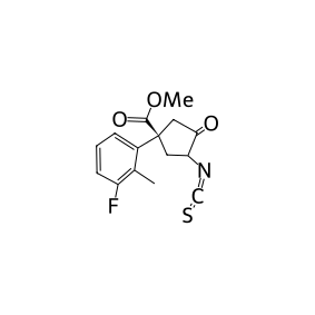 COC(=O)[C@@]1(c2cccc(F)c2C)CC(=O)C(N=C=S)C1